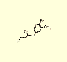 Cc1cc(OC(=O)CCCl)ccc1Br